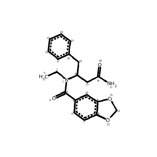 CCN(C(=O)c1ccc2c(c1)OCO2)C(CC(N)=O)Cc1ccccc1